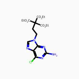 CCOC(=O)C(CCn1cnc2c(Cl)nc(N)nc21)(C(=O)OCC)C(=O)OCC